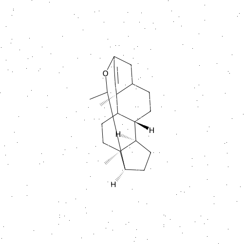 CC1OC2C=C[C@@]3(C)C(CC[C@H]4C3CC[C@]3(C)[C@@H]1CC[C@H]43)C2